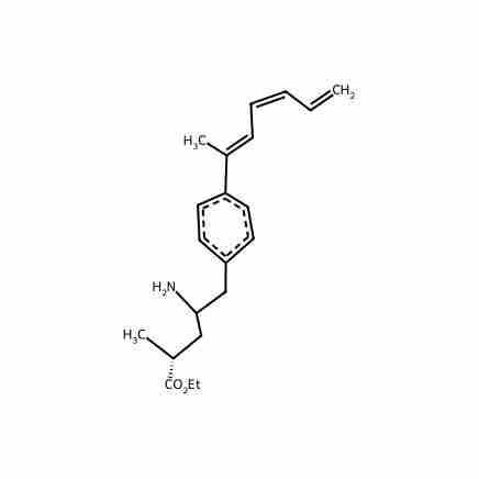 C=C/C=C\C=C(/C)c1ccc(CC(N)C[C@@H](C)C(=O)OCC)cc1